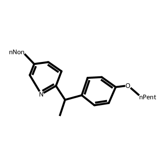 CCCCCCCCCc1ccc(C(C)c2ccc(OCCCCC)cc2)nc1